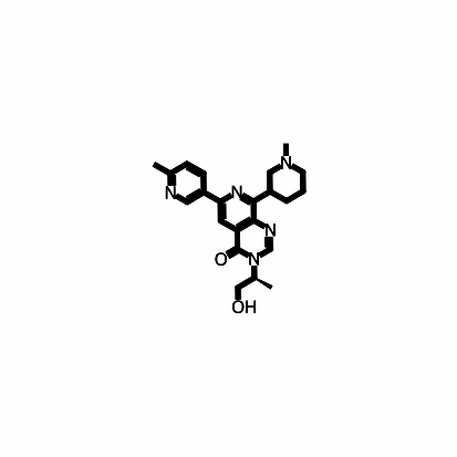 Cc1ccc(-c2cc3c(=O)n([C@@H](C)CO)cnc3c(C3CCCN(C)C3)n2)cn1